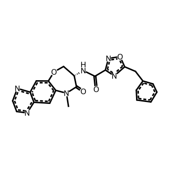 CN1C(=O)[C@@H](NC(=O)c2noc(Cc3ccccc3)n2)COc2cc3nccnc3cc21